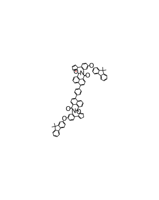 CC1(C)c2ccccc2-c2ccc(Oc3ccc(C4=CCC=C4)c(N4C(=O)c5cccc6c(-c7ccc(-c8ccc9c%10c(cccc8%10)C(=O)N(c8cc(Oc%10ccc%11c(c%10)C(C)(C)c%10ccccc%10-%11)ccc8C8C=CC=C8)C9=O)cc7)ccc(c56)C4=O)c3)cc21